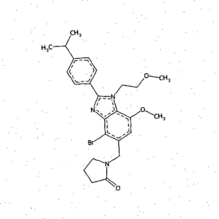 COCCn1c(-c2ccc(C(C)C)cc2)nc2c(Br)c(CN3CCCC3=O)cc(OC)c21